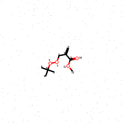 C=C(COOC(C)(C)C)C(=O)OC